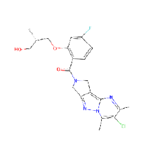 Cc1nc2c3c(nn2c(C)c1Cl)CN(C(=O)c1ccc(F)cc1OC[C@@H](C)CO)C3